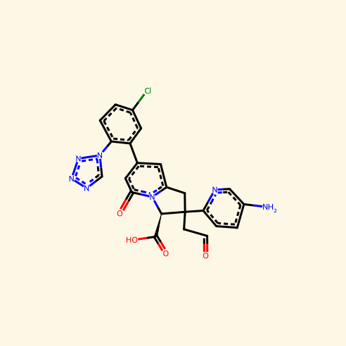 Nc1ccc(C2(CC=O)Cc3cc(-c4cc(Cl)ccc4-n4cnnn4)cc(=O)n3[C@@H]2C(=O)O)nc1